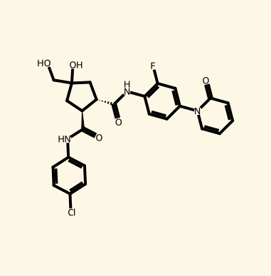 O=C(Nc1ccc(Cl)cc1)[C@H]1CC(O)(CO)C[C@@H]1C(=O)Nc1ccc(-n2ccccc2=O)cc1F